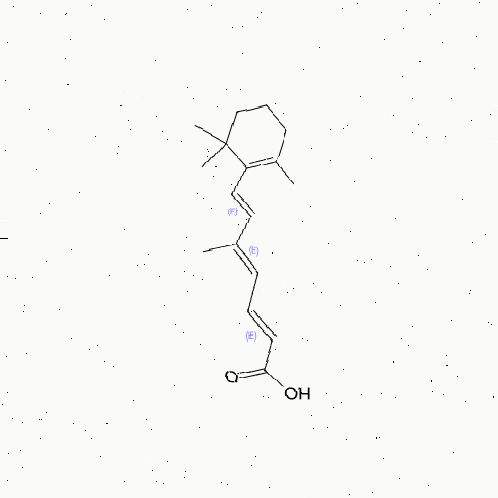 CC1=C(/C=C/C(C)=C/C=C/C(=O)O)C(C)(C)CCC1